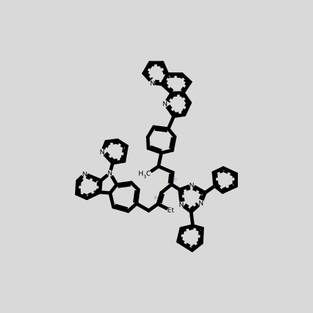 CC/C(=C\C(=C/C(C)C1=CCC=C(c2ccc3ccc4cccnc4c3n2)C=C1)c1nc(-c2ccccc2)nc(-c2ccccc2)n1)CC1=CC=C2C(C=C1)c1cccnc1N2c1ccccn1